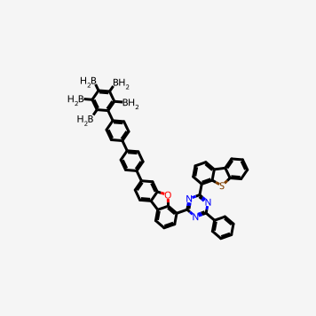 Bc1c(B)c(B)c(-c2ccc(-c3ccc(-c4ccc5c(c4)oc4c(-c6nc(-c7ccccc7)nc(-c7cccc8c7sc7ccccc78)n6)cccc45)cc3)cc2)c(B)c1B